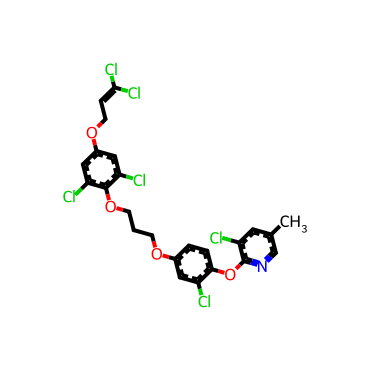 Cc1cnc(Oc2ccc(OCCCOc3c(Cl)cc(OCC=C(Cl)Cl)cc3Cl)cc2Cl)c(Cl)c1